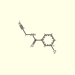 N#CCNC(=O)c1cccc(Cl)c1